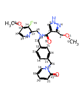 COCc1n[nH]cc1C(=O)N(Cc1ccc(Cn2ccccc2=O)cc1)Cc1nccc(OC)c1F